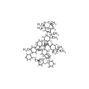 CCc1ccccc1-c1cc2c(cc1C)c1ccc(-c3cc4c(cc3Nc3ccc(C(C)(C)C)cc3)C(C)(C)c3cc5c(cc3-4)C(C)(C)CCC5(C)C)c3c1n2-c1cc2c(-c4ccccc4)c(-c4ccccc4)oc2cc1B3